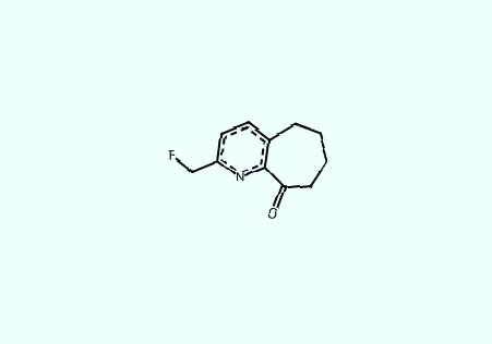 O=C1CCCCc2ccc(CF)nc21